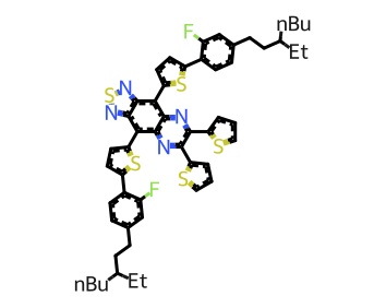 CCCCC(CC)CCc1ccc(-c2ccc(-c3c4nsnc4c(-c4ccc(-c5ccc(CCC(CC)CCCC)cc5F)s4)c4nc(-c5cccs5)c(-c5cccs5)nc34)s2)c(F)c1